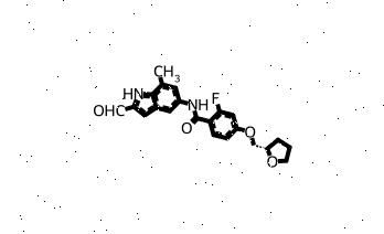 Cc1cc(NC(=O)c2ccc(OC[C@@H]3CCCO3)cc2F)cc2cc(C=O)[nH]c12